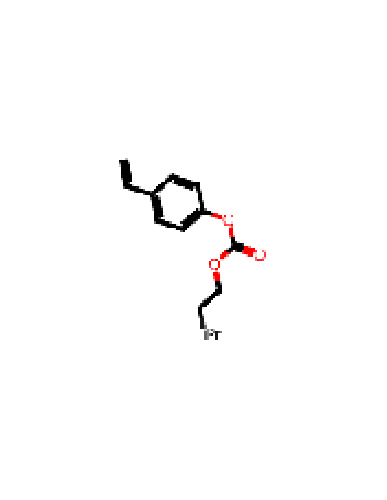 C=Cc1ccc(OC(=O)OCCC(C)C)cc1